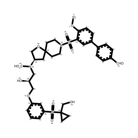 CCOc1ccc(-c2ccc(C=O)cc2)cc1S(=O)(=O)N1CCC2(CC1)C[C@@H](N(C[C@H](O)COc1cccc(S(=O)(=O)C3(CO)CC3)c1)C(=O)O)CO2